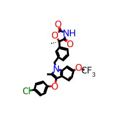 Cc1c(Oc2ccc(Cl)cc2)c2ccc(OC(F)(F)F)cc2n1Cc1cccc([C@@]2(C)OC(=O)NC2=O)c1